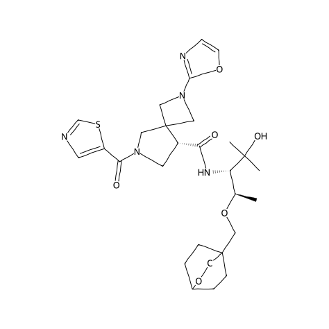 C[C@@H](OCC12CCC(CC1)OC2)[C@H](NC(=O)[C@@H]1CN(C(=O)c2cncs2)CC12CN(c1ncco1)C2)C(C)(C)O